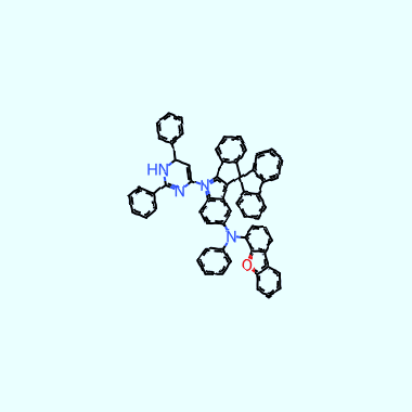 C1=C(n2c3c(c4cc(N(c5ccccc5)c5cccc6c5oc5ccccc56)ccc42)C2(c4ccccc4-c4ccccc42)c2ccccc2-3)N=C(c2ccccc2)NC1c1ccccc1